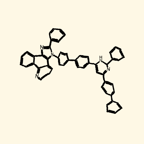 C1=C(c2ccc(-c3ccc(-n4c(-c5ccccc5)nc5c6ccccc6c6ncccc6c54)cc3)cc2)NC(c2ccccc2)N=C1c1ccc(-c2ccccc2)cc1